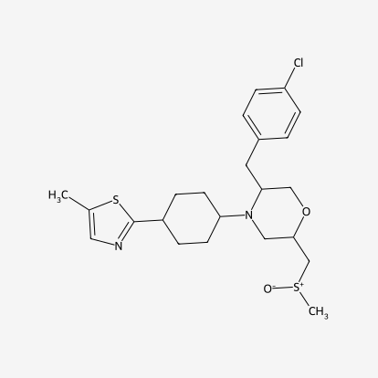 Cc1cnc(C2CCC(N3CC(C[S+](C)[O-])OCC3Cc3ccc(Cl)cc3)CC2)s1